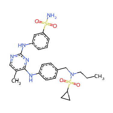 CCCN(Cc1ccc(Nc2nc(Nc3cccc(S(N)(=O)=O)c3)ncc2C)cc1)S(=O)(=O)C1CC1